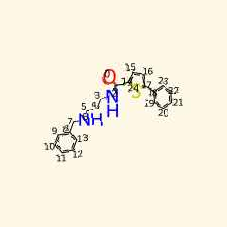 O=C(NCCCNCc1ccccc1)c1ccc(-c2ccccc2)s1